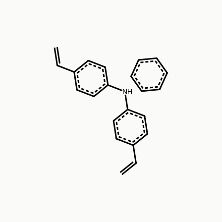 C=Cc1ccc(Nc2ccc(C=C)cc2)cc1.c1ccccc1